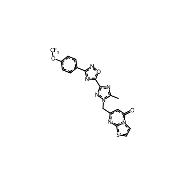 Cc1nc(-c2nc(-c3ccc(OC(F)(F)F)cc3)no2)nn1Cc1cc(=O)n2ccsc2n1